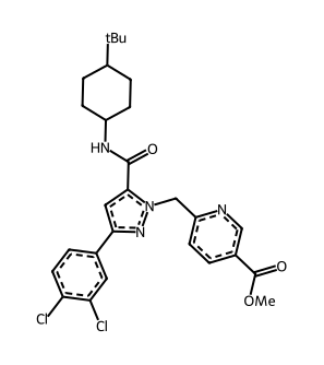 COC(=O)c1ccc(Cn2nc(-c3ccc(Cl)c(Cl)c3)cc2C(=O)NC2CCC(C(C)(C)C)CC2)nc1